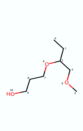 CCC(COC)OCCCO